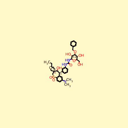 CCCC[C@]1(CC)CS(=O)(=O)c2ccc(N(C)C)cc2[C@H](c2cccc(NC(=O)NC3OC(CO)[C@@H](O)[C@H](OCc4ccccc4)[C@H]3O)c2)[C@@H]1O